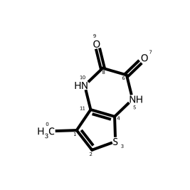 Cc1csc2[nH]c(=O)c(=O)[nH]c12